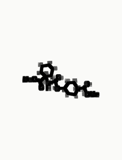 COC(=O)N1CCC(OC(=O)NC2(C(=O)OC)CCCCC2)CC1